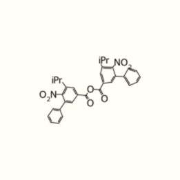 CC(C)c1cc(C(=O)OC(=O)c2cc(-c3ccccc3)c([N+](=O)[O-])c(C(C)C)c2)cc(-c2ccccc2)c1[N+](=O)[O-]